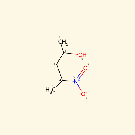 CC(O)CC(C)[N+](=O)[O-]